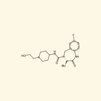 CC[C@H](C)[C@H]1C(=O)Nc2ccc(F)cc2CN1C(=O)NC1CCN(CCO)CC1